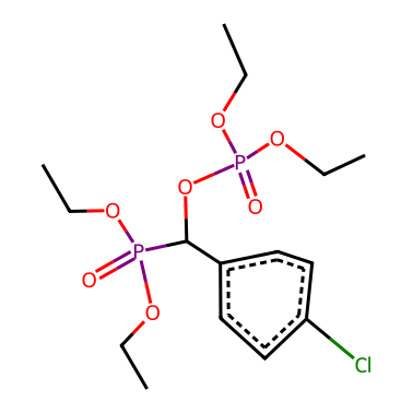 CCOP(=O)(OCC)OC(c1ccc(Cl)cc1)P(=O)(OCC)OCC